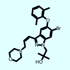 Cc1cccc(C)c1Oc1cc2c(/C=C\CN3CCOCC3)nn(CC(C)(C)O)c2cc1Br